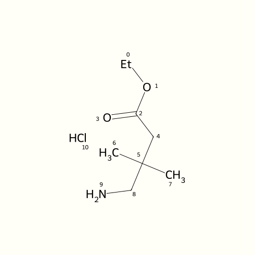 CCOC(=O)CC(C)(C)CN.Cl